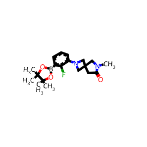 CN1CC2(CC1=O)CN(c1cccc(B3OC(C)(C)C(C)(C)O3)c1F)C2